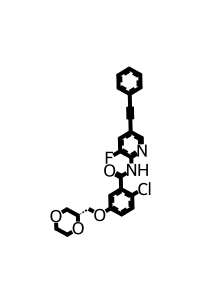 O=C(Nc1ncc(C#Cc2ccccc2)cc1F)c1cc(OC[C@H]2COCCO2)ccc1Cl